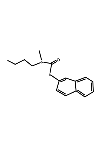 CCCCN(C)C(=O)Sc1ccc2ccccc2c1